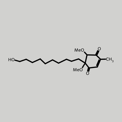 COC1C(=O)C(C)=CC(=O)C1(CCCCCCCCCCO)OC